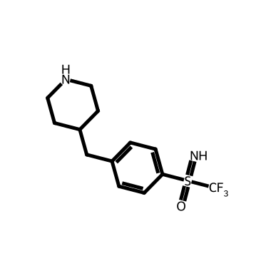 N=S(=O)(c1ccc(CC2CCNCC2)cc1)C(F)(F)F